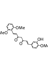 COc1ccc(/C=C/C(=O)CC(=O)/C=C/c2c(OC)cccc2OC)cc1O